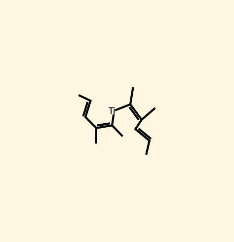 CC=CC(C)=[C](C)[Ti][C](C)=C(C)C=CC